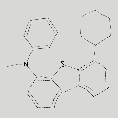 CN(c1ccccc1)c1cccc2c1sc1c(C3CCCCC3)cccc12